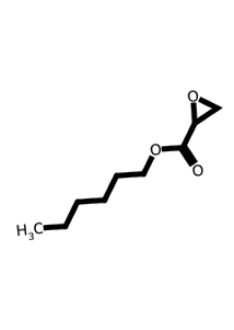 CCCCCCOC(=O)C1CO1